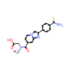 CN(CC(=O)O)C(=O)c1ccn2cc(-c3ccc(C(N)=S)cc3)nc2c1